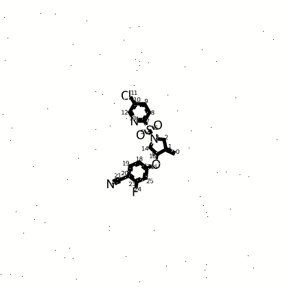 C=C1CN(S(=O)(=O)c2ccc(Cl)cn2)C[C@@H]1Oc1ccc(C#N)c(F)c1